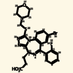 O=C(O)CC[C@@H]1N=C(c2ccccc2F)c2cc(Br)ccc2-n2c(SCN3CCOCC3)nnc21